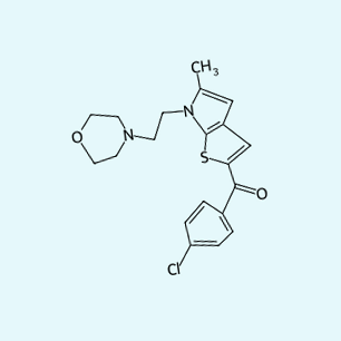 Cc1cc2cc(C(=O)c3ccc(Cl)cc3)sc2n1CCN1CCOCC1